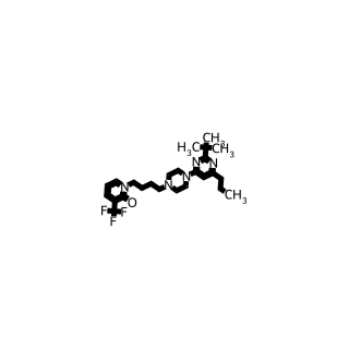 CCCc1cc(N2CCN(CCCCn3cccc(C(F)(F)F)c3=O)CC2)nc(C(C)(C)C)n1